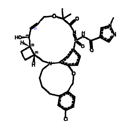 Cn1cc(C(=O)NS2(=O)=NC(=O)C(C)(C)OC/C=C/[C@H](O)[C@@H]3CC[C@H]3CN3CCCCc4cc(Cl)ccc4COc4ccc2cc43)cn1